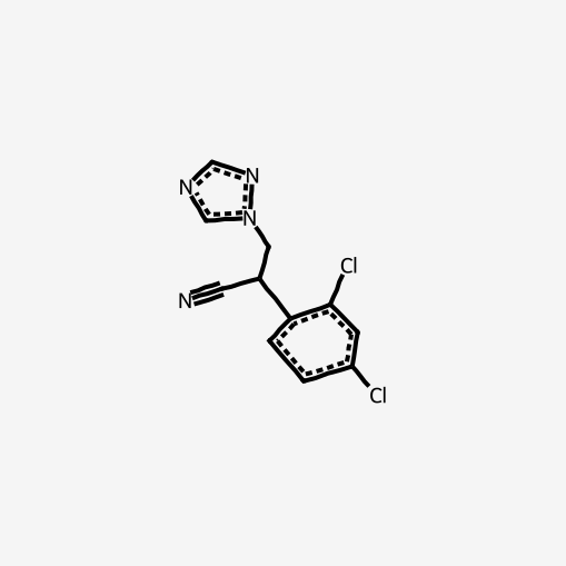 N#CC(Cn1cncn1)c1ccc(Cl)cc1Cl